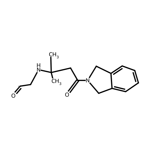 CC(C)(CC(=O)N1Cc2ccccc2C1)NC[C]=O